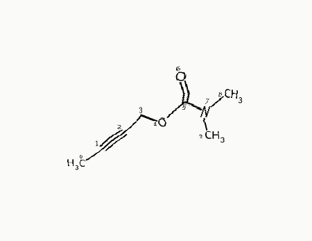 CC#CCOC(=O)N(C)C